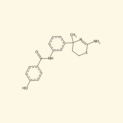 CC1(c2cccc(NC(=O)c3ccc(O)cc3)c2)CCSC(N)=N1